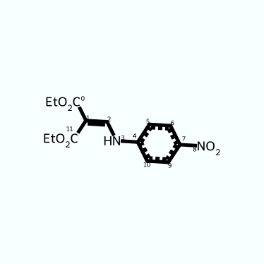 CCOC(=O)C(=CNc1ccc([N+](=O)[O-])cc1)C(=O)OCC